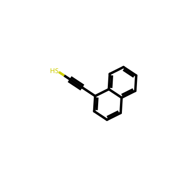 SC#Cc1cccc2ccccc12